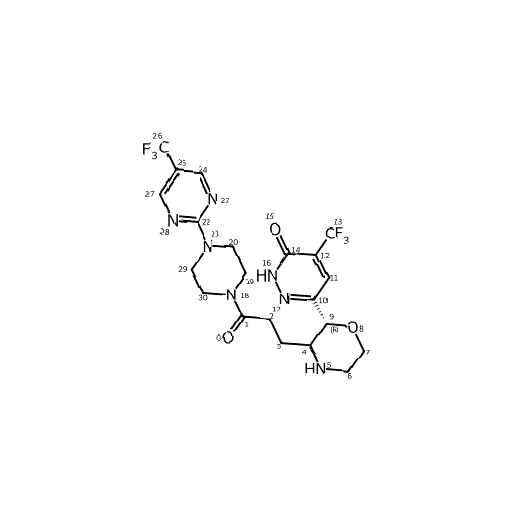 O=C(CCC1NCCO[C@H]1c1cc(C(F)(F)F)c(=O)[nH]n1)N1CCN(c2ncc(C(F)(F)F)cn2)CC1